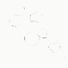 COc1ccc(-n2nc(-c3ccnc([C@H](C)N4C[C@@H](C)O[C@@H](C)C4)c3)c3c2CCOCC3)cn1